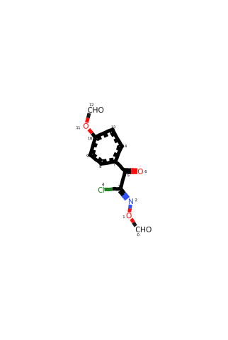 O=CO/N=C(\Cl)C(=O)c1ccc(OC=O)cc1